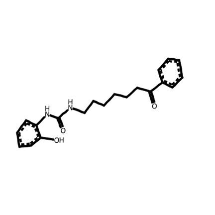 O=C(NCCCCCCC(=O)c1ccccc1)Nc1ccccc1O